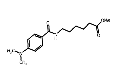 COC(=O)CCCCCNC(=O)c1ccc(N(C)C)cc1